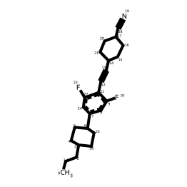 CCCC1CCC(c2cc(F)c(C#CC3CCC(C#N)CC3)c(F)c2)CC1